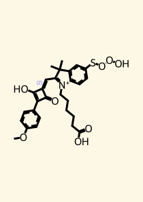 COc1ccc(C2=C(O)/C(=C/C3=[N+](CCCCCC(=O)O)c4ccc(SOOO)cc4C3(C)C)C2=O)cc1